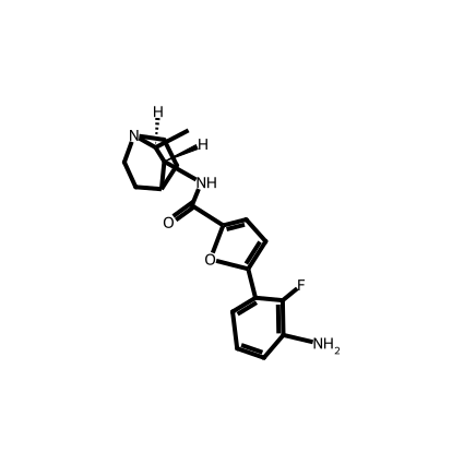 C[C@H]1[C@H](NC(=O)c2ccc(-c3cccc(N)c3F)o2)C2CCN1CC2